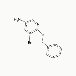 Nc1cnc(SCc2ccccc2)c(Br)c1